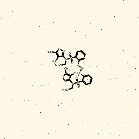 COCN(c1noc(C)c1C)S(=O)(=O)c1ccccc1OBOc1ccccc1S(=O)(=O)N(COC)c1noc(C)c1C